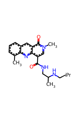 Cc1cccc2cc3c(=O)n(C)cc(C(=O)NCC(C)NCC(C)C)c3nc12